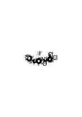 C[N+](C)(Cc1ccc(NC(=O)c2ccc(Cl)c(Cl)c2)cc1)C1CCSCC1.[I-]